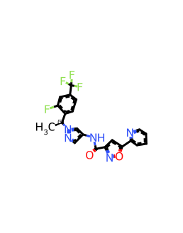 C[C@@H](c1ccc(C(F)(F)F)cc1F)n1cc(NC(=O)c2cc(-c3ccccn3)on2)cn1